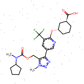 CN(C(=O)OCc1c(-c2cnc(O[C@H]3CCC[C@H](C(=O)O)C3)c(C(F)(F)F)c2)nnn1C)C1CCCC1